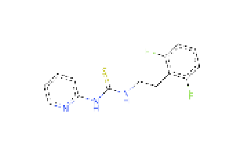 Fc1cccc(F)c1CCNC(=S)Nc1ccccn1